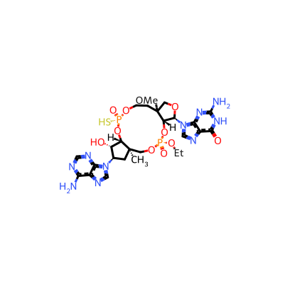 CCO[P@]1(=O)OC[C@@]2(C)C[C@@H](n3cnc4c(N)ncnc43)[C@H](O)[C@@H]2O[P@](=O)(S)OCCC2(OC)CO[C@@H](n3cnc4c(=O)[nH]c(N)nc43)[C@@H]2O1